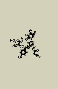 NCC(=O)OC[C@H]1O[C@@H](n2cc(F)c(=O)[nH]c2=O)C[C@@H]1OCc1ccc(Cl)cc1.O=C(O)C(O)C(O)C(=O)O